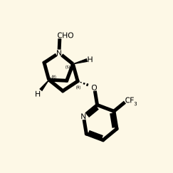 O=CN1C[C@H]2C[C@@H](Oc3ncccc3C(F)(F)F)[C@@H]1C2